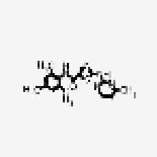 Cc1cc(C)c(NC(=O)c2cnc(Nc3nccc(C)n3)s2)c(C)c1